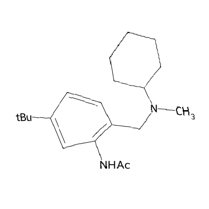 CC(=O)Nc1cc(C(C)(C)C)ccc1CN(C)C1CCCCC1